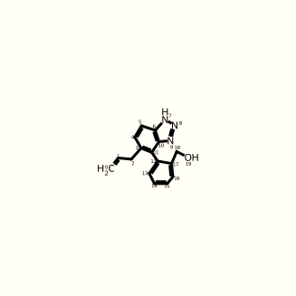 C=CCc1ccc2[nH]nnc2c1-c1ccccc1CO